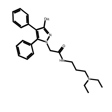 CCN(CC)CCCNC(=O)Cn1nc(O)c(-c2ccccc2)c1-c1ccccc1